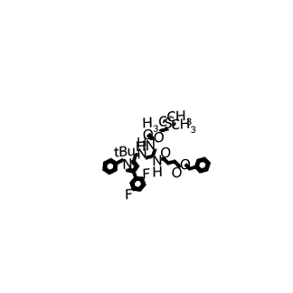 CC(C)(C)C(NCC(CNC(=O)OCC[Si](C)(C)C)NC(=O)CCC(=O)OCc1ccccc1)c1cc(-c2cc(F)ccc2F)cn1Cc1ccccc1